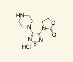 Cl.O=C1OCCN1c1nsnc1N1CCNCC1